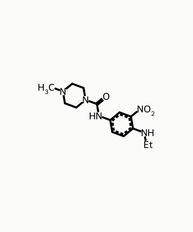 CCNc1ccc(NC(=O)N2CCN(C)CC2)cc1[N+](=O)[O-]